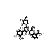 CCN1CCN(C(=O)NC(C(=O)N[C@H]2Cc3ccc(F)c(C(=O)O)c3OB2O)c2ccc(O)c(O)c2)C(=O)C1=O